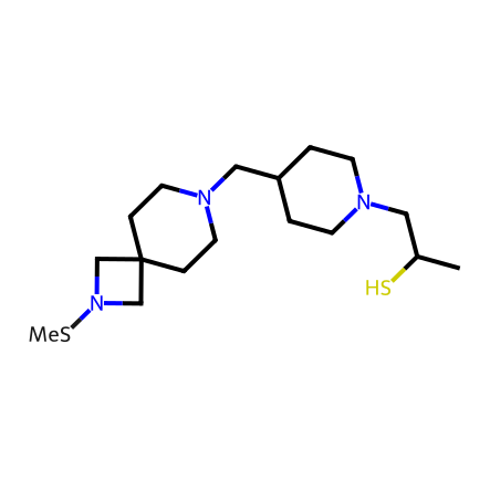 CSN1CC2(CCN(CC3CCN(CC(C)S)CC3)CC2)C1